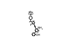 CC(C1CCN(C(=O)OC(C)(C)C)CC1)n1ncc(C#Cc2cc(-c3ccccc3O)nnc2N)c1F